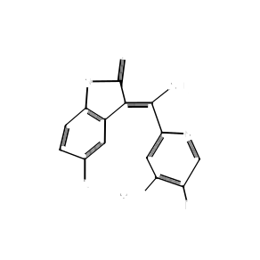 COc1cc(/C(N)=C2/C(=O)Nc3ccc(Br)cc32)ncc1Br